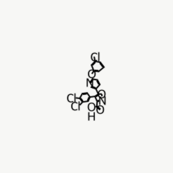 O=C(O)c1noc(-c2ccc(Oc3cccc(Cl)c3)nc2)c1-c1ccc(Cl)c(Cl)c1